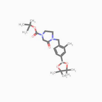 Cc1cc(B2OC(C)(C)C(C)(C)O2)ccc1CN1CCN(C(=O)OC(C)(C)C)CC1=O